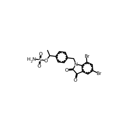 CC(OS(N)(=O)=O)c1ccc(CN2C(=O)C(=O)c3cc(Br)cc(Br)c32)cc1